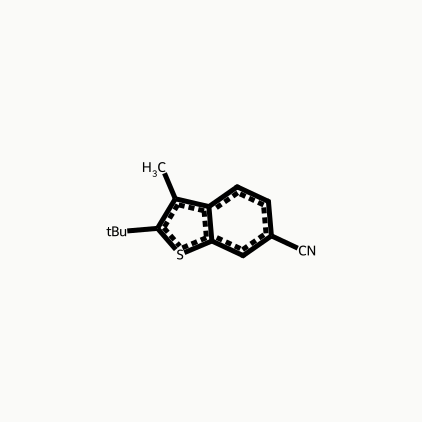 Cc1c(C(C)(C)C)sc2cc(C#N)ccc12